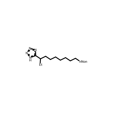 CCCCCCCCCCCCCCCCC(CC)c1nnn[nH]1